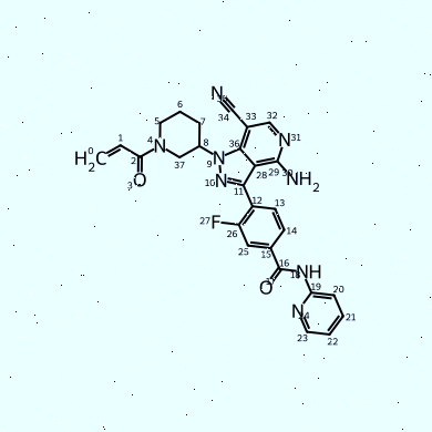 C=CC(=O)N1CCCC(n2nc(-c3ccc(C(=O)Nc4ccccn4)cc3F)c3c(N)ncc(C#N)c32)C1